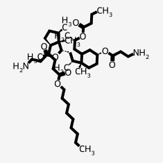 CCCCCCCCCOC(=O)CC[C@@H](C)[C@H]1CC[C@@H](C)[C@]1(C)[C@H](C[C@@H](C)[C@@]1(C)CC[C@@H](OC(=O)CCN)CC1C[C@H](C)OC(=O)CCC)OC(=O)CCN